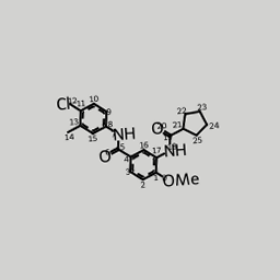 COc1ccc(C(=O)Nc2ccc(Cl)c(C)c2)cc1NC(=O)C1CCCC1